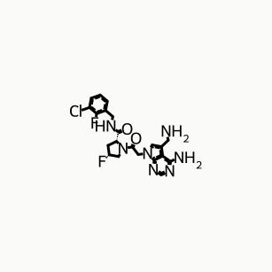 NCc1cn(CC(=O)N2C[C@H](F)C[C@@H]2C(=O)NCc2cccc(Cl)c2F)c2ncnc(N)c12